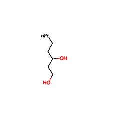 CCCCCC(O)CCO